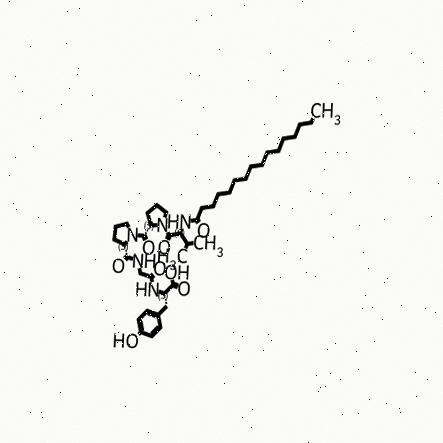 CCCCCCCCCCCCCCCC(=O)N[C@H](C(=O)N1CCC[C@H]1C(=O)N1CCC[C@H]1C(=O)NCC(=O)N[C@@H](Cc1ccc(O)cc1)C(=O)O)C(C)C